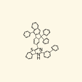 C1=CC2c3c(cc4ccccc4c3-c3ccccc3)C(c3ccccc3)(c3ccccc3)C2C=C1C1=C2Sc3ccccc3C2NC(c2cccc(-c3ccccc3)c2)=N1